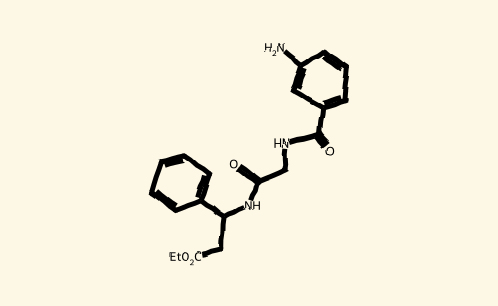 CCOC(=O)CC(NC(=O)CNC(=O)c1cccc(N)c1)c1ccccc1